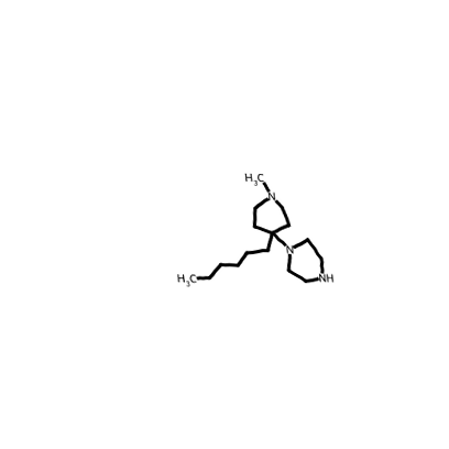 CCCCCCC1(N2CCNCC2)CCN(C)CC1